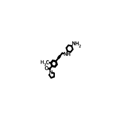 Cc1cc(C#CCN[C@H]2CC[C@H](N)CC2)ccc1C(=O)N1CCCC1